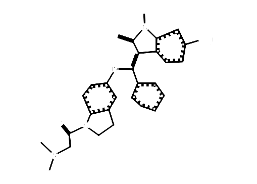 CN(C)CC(=O)N1CCc2cc(NC(=C3C(=O)N(C)c4cc(C(=O)O)ccc43)c3ccccc3)ccc21